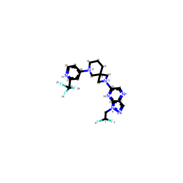 FC(F)Cn1ncc2ncc(N3CC4(CCCN(c5ccnc(C(F)(F)F)c5)C4)C3)nc21